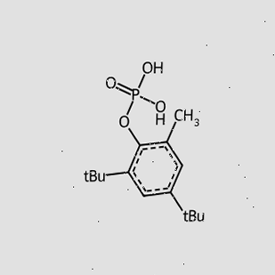 Cc1cc(C(C)(C)C)cc(C(C)(C)C)c1OP(=O)(O)O